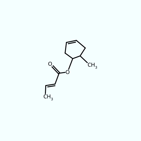 C/C=C/C(=O)OC1CC=CCC1C